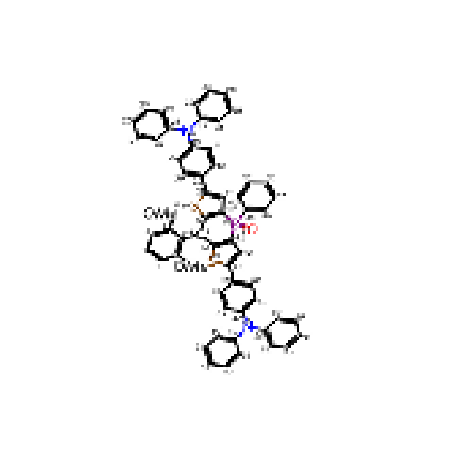 COc1cccc(OC)c1[C+]1c2sc(-c3ccc(N(c4ccccc4)c4ccccc4)cc3)cc2P(=O)(c2ccccc2)c2cc(-c3ccc(N(c4ccccc4)c4ccccc4)cc3)sc21